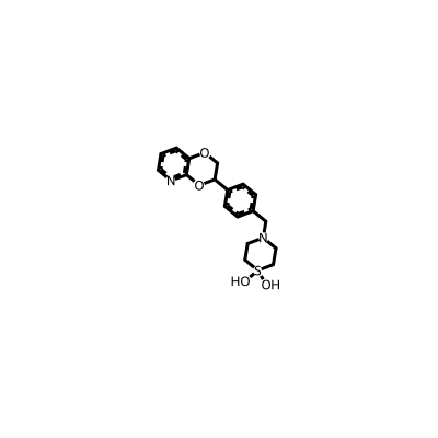 OS1(O)CCN(Cc2ccc(C3COc4cccnc4O3)cc2)CC1